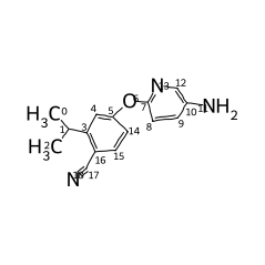 CC(C)c1cc(Oc2ccc(N)cn2)ccc1C#N